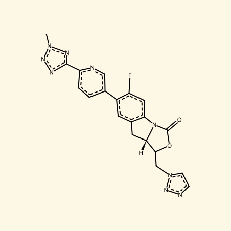 Cn1nnc(-c2ccc(-c3cc4c(cc3F)N3C(=O)OC(Cn5ccnn5)[C@@H]3C4)cn2)n1